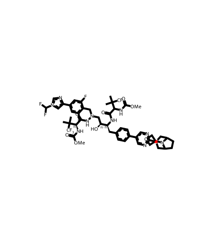 COC(=O)NC(C(=O)N[C@@H](Cc1ccc(-c2cnc(N3CC4CCC(C3)N4C3COC3)nc2)cc1)[C@@H](O)CN(Cc1c(F)cc(-c2cn(C(F)F)cn2)cc1F)NC(=O)[C@@H](NC(=O)OC)C(C)(C)C(F)(F)F)C(C)(C)C(F)(F)F